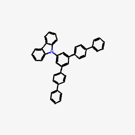 c1ccc(-c2ccc(-c3cc(-c4ccc(-c5ccccc5)cc4)cc(-n4c5ccccc5c5ccccc54)c3)cc2)cc1